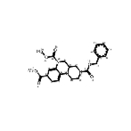 COC(=O)C1C=C2C(=CC1)N1CCN(C(=O)OCc3ccccc3)CC1CN2C(=O)OC(C)(C)C